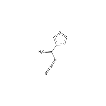 C=C(N=[N+]=[N-])c1ccsc1